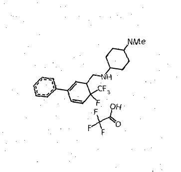 CNC1CCC(NCC2C=C(c3ccccc3)C=CC2(F)C(F)(F)F)CC1.O=C(O)C(F)(F)F